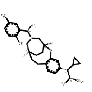 C[C@H](C(=O)O)[C@H](c1ccc2c(c1)O[C@H]1CC[C@@H](CC2)CN([C@H](C)c2cc(C(F)(F)F)ccc2C(F)(F)F)C1)C1CC1